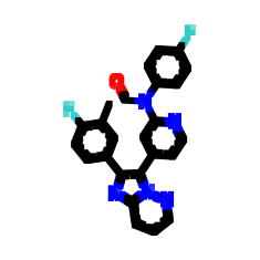 Cc1cc(-c2nc3cccnn3c2-c2ccnc(N(C=O)c3ccc(F)cc3)c2)ccc1F